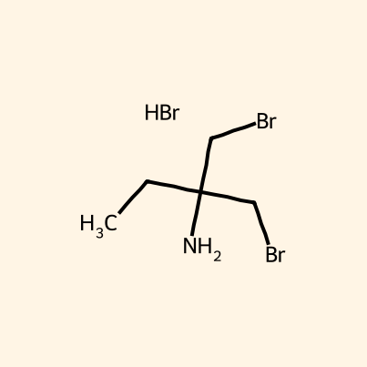 Br.CCC(N)(CBr)CBr